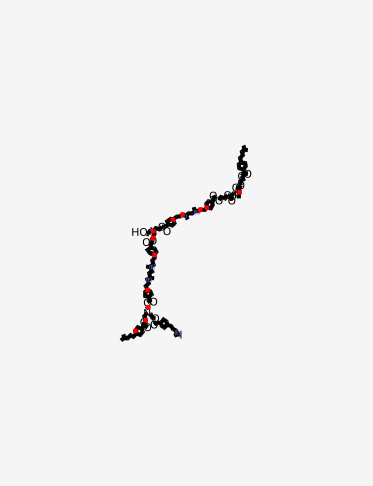 CC(C)=CCCC1=CCC(C(=O)OCCOC(=O)CN(C)CC(=O)OCCOC(=O)C2CC=C(CC/C=C(\C)CC/C(C)=C/CCC3=CCC(C(=O)OCCN(CCO)CCOC(=O)C4CC=C(CC/C=C(\C)CC/C(C)=C/CCC5=CCC(C(=O)OCCN(CCOC(=O)C6CC=C(CCC=C(C)C)CC6)CCOC(=O)C6CC=C(CC/C=C(\C)I)CC6)CC5)CC4)CC3)CC2)CC1